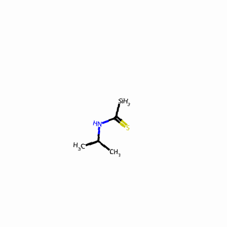 CC(C)NC([SiH3])=S